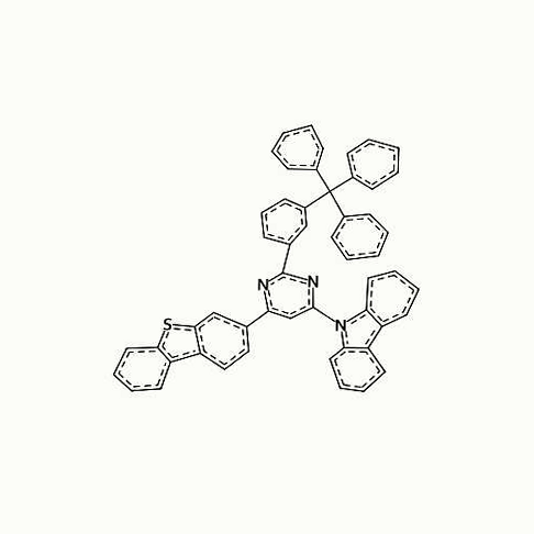 c1ccc(C(c2ccccc2)(c2ccccc2)c2cccc(-c3nc(-c4ccc5c(c4)sc4ccccc45)cc(-n4c5ccccc5c5ccccc54)n3)c2)cc1